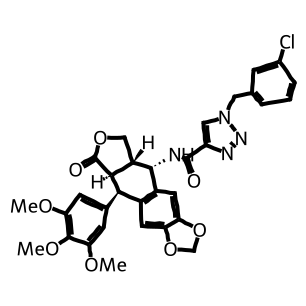 COc1cc([C@@H]2c3cc4c(cc3[C@@H](NC(=O)c3cn(Cc5cccc(Cl)c5)nn3)[C@H]3COC(=O)[C@H]23)OCO4)cc(OC)c1OC